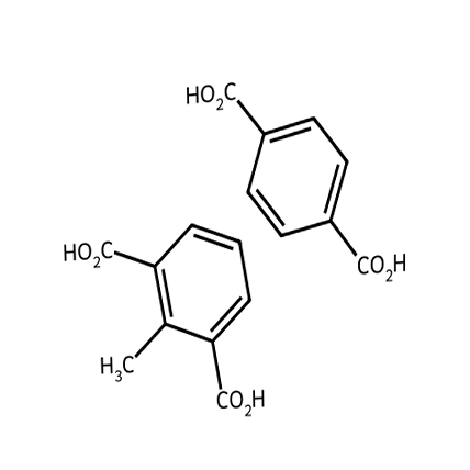 Cc1c(C(=O)O)cccc1C(=O)O.O=C(O)c1ccc(C(=O)O)cc1